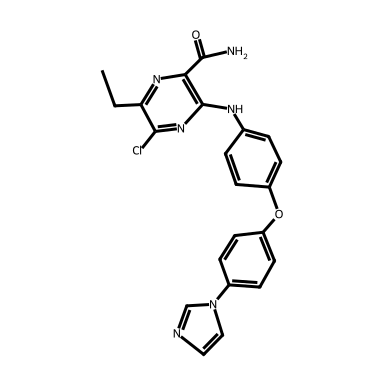 CCc1nc(C(N)=O)c(Nc2ccc(Oc3ccc(-n4ccnc4)cc3)cc2)nc1Cl